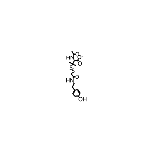 COC(=O)C(NC(C)=O)C(C)(C)SSCC(=O)NCCc1ccc(O)cc1